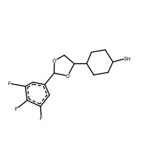 Fc1cc(C2OCC(C3CCC(S)CC3)O2)cc(F)c1F